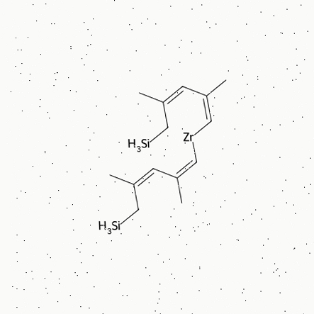 CC(=[CH][Zr][CH]=C(C)C=C(C)C[SiH3])C=C(C)C[SiH3]